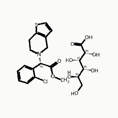 COC(=O)[C@H](c1ccccc1Cl)N1CCc2sccc2C1.O=C(O)[C@H](O)[C@@H](O)[C@H](O)[C@H](O)CO